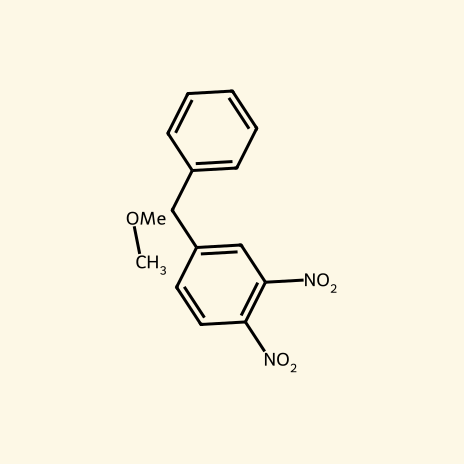 COC.O=[N+]([O-])c1ccc(Cc2ccccc2)cc1[N+](=O)[O-]